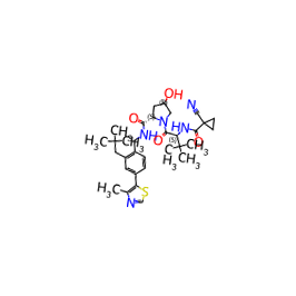 Cc1ncsc1-c1ccc(CNC(=O)[C@@H]2C[C@@H](O)CN2C(=O)[C@@H](NC(=O)C2(C#N)CC2)C(C)(C)C)c(CC(C)(C)C)c1